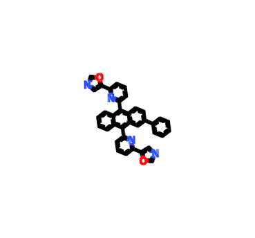 c1ccc(-c2ccc3c(-c4cccc(-c5cnco5)n4)c4ccccc4c(-c4cccc(-c5cnco5)n4)c3c2)cc1